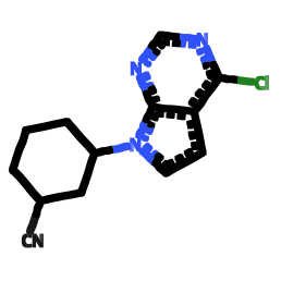 N#CC1CCCC(n2ccc3c(Cl)ncnc32)C1